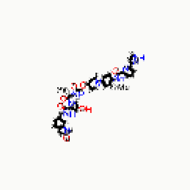 COc1cc(N2CCC(OCC(=O)N[C@H](C(=O)N3C[C@H](O)C[C@H]3C(=O)NCc3ccc4c(c3)N(C)C(=O)C4)C(C)(C)C)CC2)ccc1NC(=O)c1cccc(-c2cc[nH]n2)n1